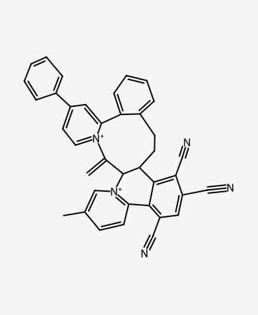 C=C1C2C(CCc3ccccc3-c3cc(-c4ccccc4)cc[n+]31)c1c(C#N)c(C#N)cc(C#N)c1-c1ccc(C)c[n+]12